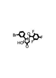 O=C1CN(C(=O)c2c(F)cc(F)cc2F)C(c2cccc(Br)c2)N1O